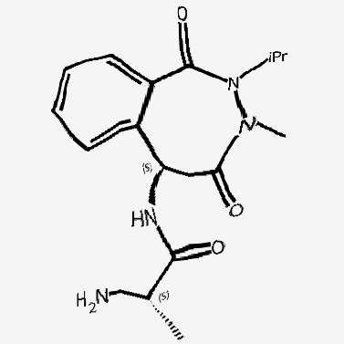 CC(C)N1C(=O)c2ccccc2[C@H](NC(=O)[C@H](C)N)C(=O)N1C